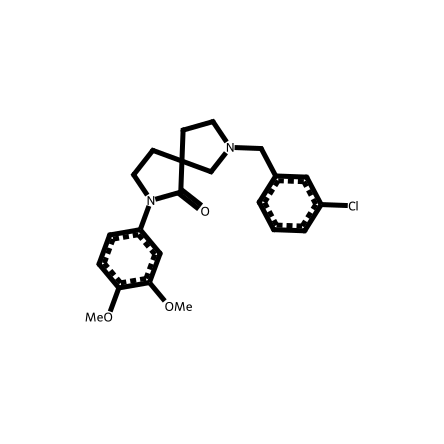 COc1ccc(N2CCC3(CCN(Cc4cccc(Cl)c4)C3)C2=O)cc1OC